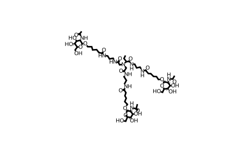 CCC(C(=O)NCCCNC(=O)CCCCCO[C@@H]1OC(CO)[C@H](O)C(O)[C@@H]1NC(C)=O)N(CC(=O)NCCCNC(=O)CCCCCO[C@@H]1OC(CO)[C@H](O)C(O)C1NC(C)=O)CC(=O)NCCCNC(=O)CCCCCO[C@@H]1OC(CO)[C@H](O)C(O)[C@@H]1NC(C)=O